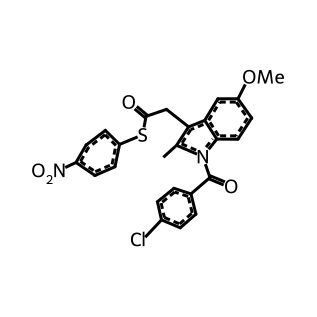 COc1ccc2c(c1)c(CC(=O)Sc1ccc([N+](=O)[O-])cc1)c(C)n2C(=O)c1ccc(Cl)cc1